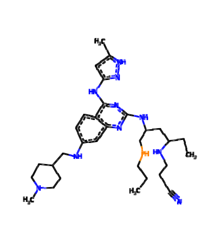 CCCPCC(CC(CC)NCCC#N)Nc1nc(Nc2cc(C)[nH]n2)c2ccc(NCC3CCN(C)CC3)cc2n1